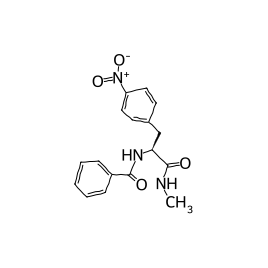 CNC(=O)[C@H](Cc1ccc([N+](=O)[O-])cc1)NC(=O)c1ccccc1